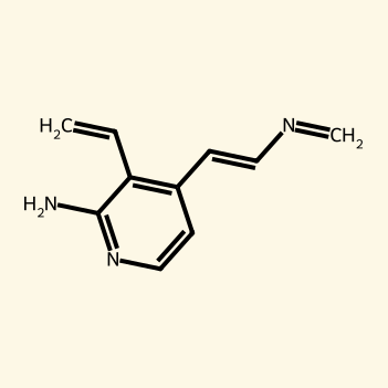 C=Cc1c(/C=C/N=C)ccnc1N